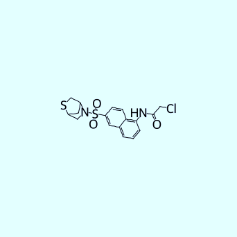 O=C(CCl)Nc1cccc2cc(S(=O)(=O)N3CC4CC3CS4)ccc12